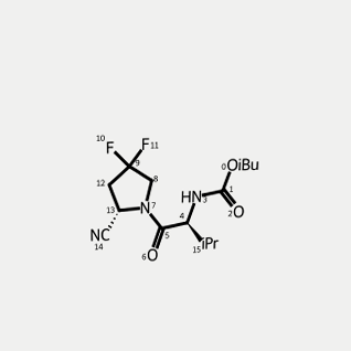 CC(C)COC(=O)N[C@H](C(=O)N1CC(F)(F)C[C@H]1C#N)C(C)C